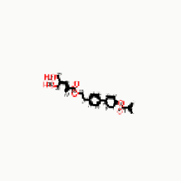 C=C(C)C(=O)OC1CCC(C2CCC(CCOC(=O)C(=C)CC(CO)CO)CC2)CC1